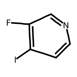 Fc1cnccc1I